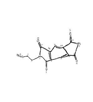 COCCn1c(=O)c2cc3c(=O)[nH]c(=O)c3cc2c1=O